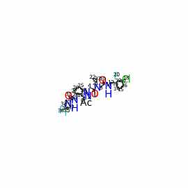 CC(=O)c1nn(CC(=O)N(CC(=O)NCc2cccc(Cl)c2F)C2CC2)c2cccc(NC(=O)N3CC(F)(F)C3)c12